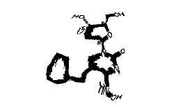 O=c1nc(NO)c(Cc2ccccc2)cn1[C@H]1C[C@H](O)[C@@H](CO)O1